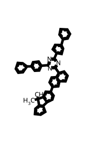 CC1(C)c2ccccc2-c2ccc(-c3ccc4c(-c5nc(-c6ccc(-c7ccccc7)cc6)nc(-c6ccc(-c7ccccc7)cc6)n5)cccc4c3)cc21